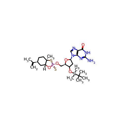 C=C(C)[C@H]1CC[C@@]2(C)S[P@](=S)(OC[C@H]3O[C@@H](n4cnc5c(=O)[nH]c(N)nc54)CC3O[Si](C)(C)C(C)(C)C)O[C@@H]2C1